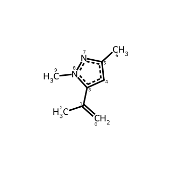 C=C(C)c1cc(C)nn1C